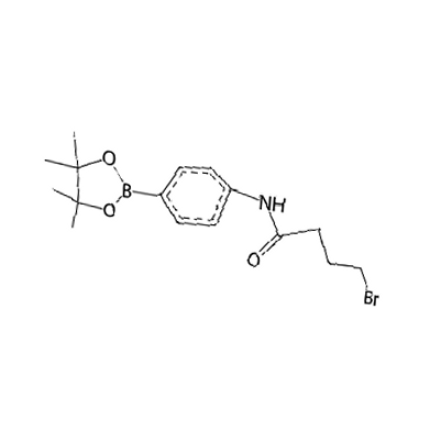 CC1(C)OB(c2ccc(NC(=O)CCCBr)cc2)OC1(C)C